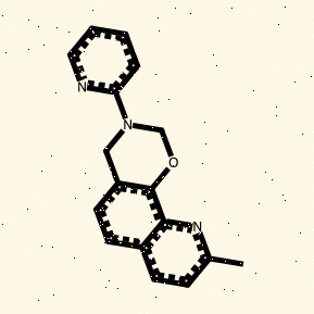 Cc1ccc2ccc3c(c2n1)OCN(c1ccccn1)C3